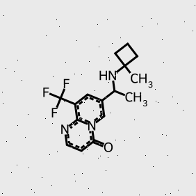 CC(NC1(C)CCC1)c1cc(C(F)(F)F)c2nccc(=O)n2c1